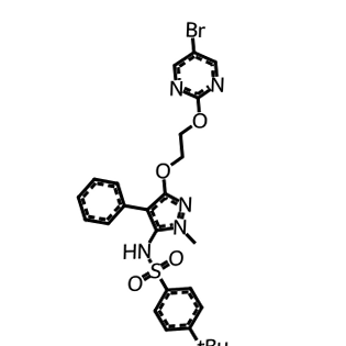 Cn1nc(OCCOc2ncc(Br)cn2)c(-c2ccccc2)c1NS(=O)(=O)c1ccc(C(C)(C)C)cc1